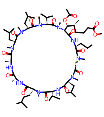 CCC[C@@H]1NC(=O)[C@H]([C@H](OC(C)=O)[C@H](C)CCCC(=O)OC)N(C)C(=O)[C@H](C(C)C)N(C)C(=O)[C@H](CC(C)C)N(C)C(=O)[C@H](CC(C)C)N(C)C(=O)[C@H](C)NC(=O)[C@@H](C)NC(=O)[C@@H](CCC(C)C)N(C)C(=O)[C@@H](C(C)C)NC(=O)[C@H](CC(C)C)N(C)C(=O)CN(C)C1=O